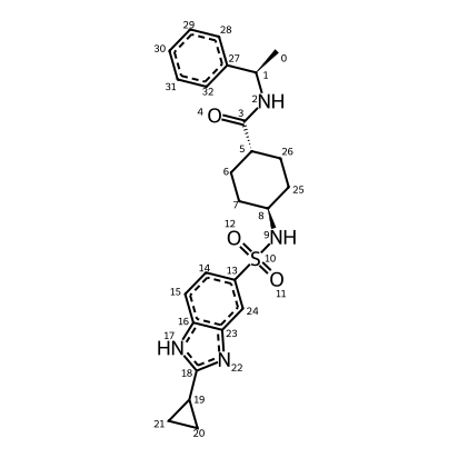 C[C@@H](NC(=O)[C@H]1CC[C@H](NS(=O)(=O)c2ccc3[nH]c(C4CC4)nc3c2)CC1)c1ccccc1